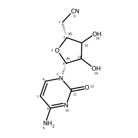 N#CC[C@H]1O[C@@H](n2ccc(N)nc2=O)C(O)C1O